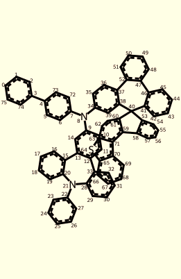 c1ccc(-c2ccc(N(c3ccc4c(c3)-c3ccccc3N(c3ccccc3)c3ccccc3-4)c3ccc4c(c3)C3(c5ccccc5-c5ccccc5-4)c4ccccc4-c4c3ccc3sc5ccccc5c43)cc2)cc1